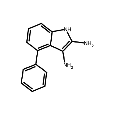 Nc1[nH]c2cccc(-c3ccccc3)c2c1N